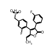 CC=C1OC(=O)C(c2cccc(F)c2)=C1c1ccc(C[SH](=O)=O)cc1F